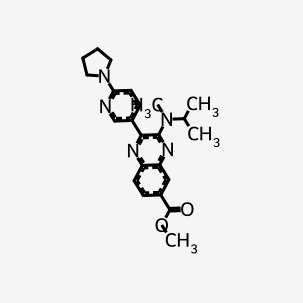 COC(=O)c1ccc2nc(-c3ccc(N4CCCC4)nc3)c(N(C)C(C)C)nc2c1